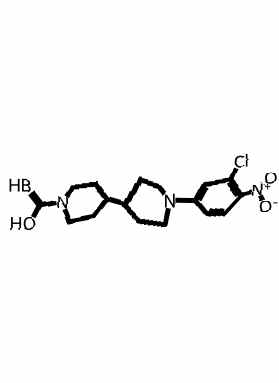 B=C(O)N1CCC(C2CCN(c3ccc([N+](=O)[O-])c(Cl)c3)CC2)CC1